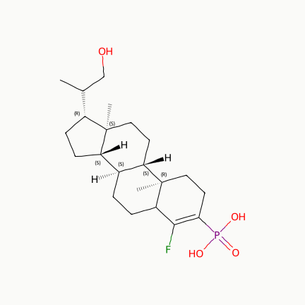 CC(CO)[C@H]1CC[C@H]2[C@@H]3CCC4C(F)=C(P(=O)(O)O)CC[C@]4(C)[C@H]3CC[C@]12C